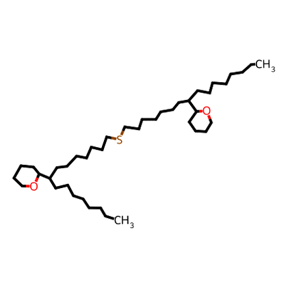 CCCCCCCCC(CCCCCCCSCCCCCCCC(CCCCCCCC)C1CCCCO1)C1CCCCO1